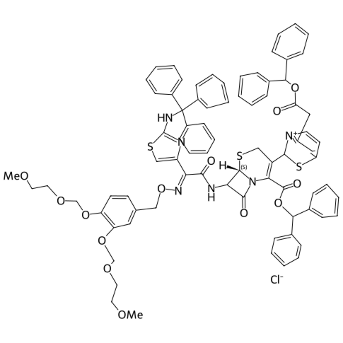 COCCOCOc1ccc(CON=C(C(=O)NC2C(=O)N3C(C(=O)OC(c4ccccc4)c4ccccc4)=C(C4Sc5cc[n+]4c(CC(=O)OC(c4ccccc4)c4ccccc4)c5)CS[C@@H]23)c2csc(NC(c3ccccc3)(c3ccccc3)c3ccccc3)n2)cc1OCOCCOC.[Cl-]